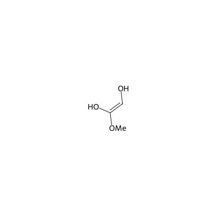 COC(O)=CO